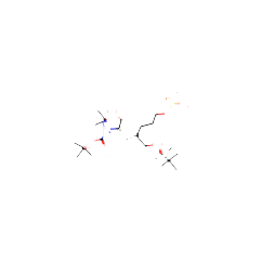 CC(C)(C)OC(=O)N1[C@@H](C[C@@H](CCCOS(C)(=O)=O)CO[Si](C)(C)C(C)(C)C)COC1(C)C